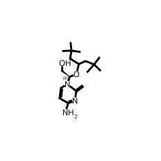 C=C1N=C(N)C=CN1[C@@H](CO)OC(CC(C)(C)C)CC(C)(C)C